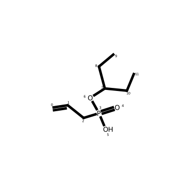 C=CCP(=O)(O)OC(CC)CC